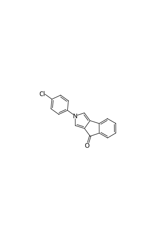 O=C1c2ccccc2-c2cn(-c3ccc(Cl)cc3)cc21